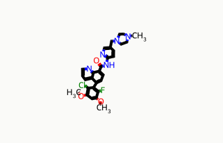 COc1cc(OC)c(Cl)c(-c2ccc(C(=O)Nc3ccc(CN4CCN(C)CC4)cn3)c3ncccc23)c1F